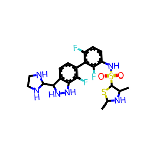 CC1NC(C)C(S(=O)(=O)Nc2ccc(F)c(-c3ccc4c(c3F)NNC4C3NCCN3)c2F)S1